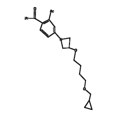 CC(=O)c1cc(N2CC(OCCCCOCC3CC3)C2)ccc1C(=O)C(C)C